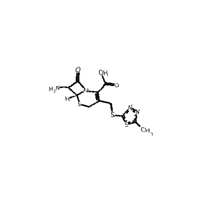 Cc1nnc(SCC2=C(C(=O)O)N3C(=O)C(N)[C@H]3SC2)s1